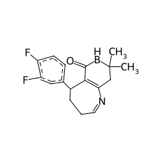 CC1(C)BC(=O)C2=C(C1)N=CCCC2c1ccc(F)c(F)c1